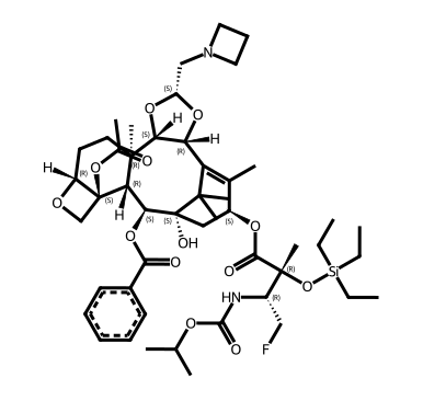 CC[Si](CC)(CC)O[C@@](C)(C(=O)O[C@H]1C[C@@]2(O)[C@@H](OC(=O)c3ccccc3)[C@H]3[C@@](C)(CC[C@H]4OC[C@]43OC(C)=O)[C@@H]3O[C@H](CN4CCC4)O[C@@H]3C(=C1C)C2(C)C)[C@H](CF)NC(=O)OC(C)C